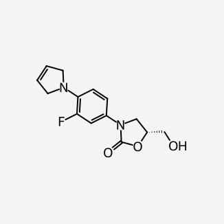 O=C1O[C@@H](CO)CN1c1ccc(N2CC=CC2)c(F)c1